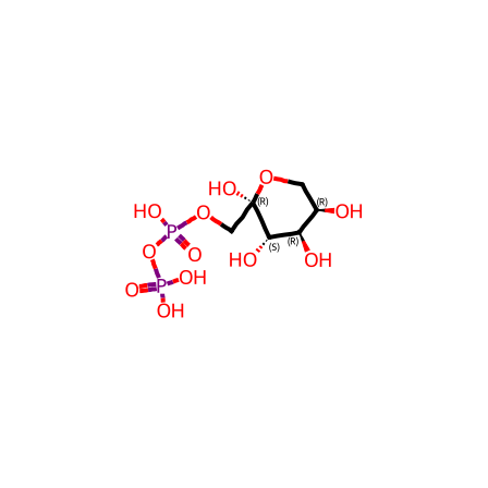 O=P(O)(O)OP(=O)(O)OC[C@@]1(O)OC[C@@H](O)[C@@H](O)[C@@H]1O